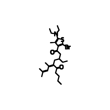 CCCCC(=O)/C(CC(CC)CC(=O)c1c(Br)sc(N(CC)CC)c1C)=C(/C)C=C(C)C